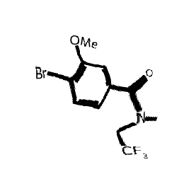 COc1cc(C(=O)N(C)CC(F)(F)F)ccc1Br